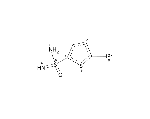 CC(C)c1ccc(S(=N)(N)=O)s1